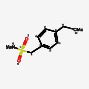 CNS(=O)(=O)Cc1ccc(COC)cc1